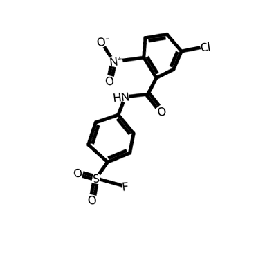 O=C(Nc1ccc(S(=O)(=O)F)cc1)c1cc(Cl)ccc1[N+](=O)[O-]